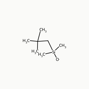 CC(C)(C)C[Si](C)(C)[O]